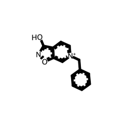 Oc1noc2c[n+](Cc3ccccc3)ccc12